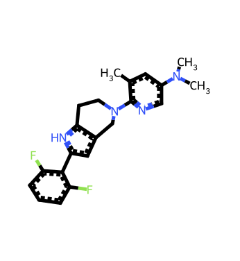 Cc1cc(N(C)C)cnc1N1CCc2[nH]c(-c3c(F)cccc3F)cc2C1